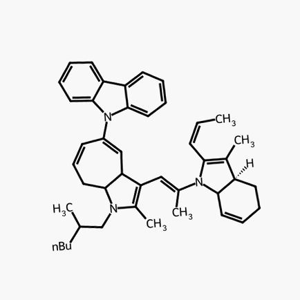 C/C=C\C1=C(C)[C@H]2CCC=CC2N1/C(C)=C/C1=C(C)N(CC(C)CCCC)C2CC=CC(n3c4ccccc4c4ccccc43)=CC12